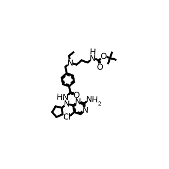 CCN(CCCNC(=O)OC(C)(C)C)Cc1ccc(C(=O)NN(c2nc(N)ncc2Cl)C2CCCC2)cc1